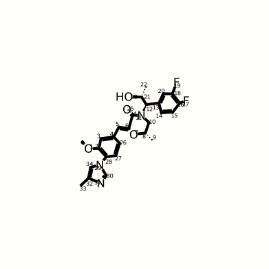 COc1cc(/C=C2\O[C@@H](C)CN([C@H](c3ccc(F)c(F)c3)[C@@H](C)O)C2=O)ccc1-n1cnc(C)c1